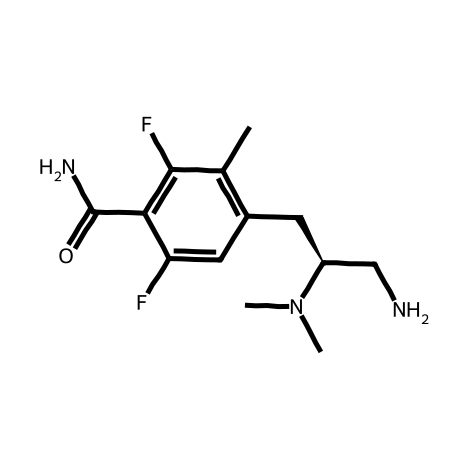 Cc1c(C[C@@H](CN)N(C)C)cc(F)c(C(N)=O)c1F